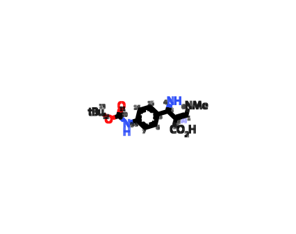 CN/C=C(\C(=N)c1ccc(NC(=O)OC(C)(C)C)cc1)C(=O)O